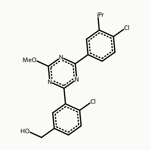 COc1nc(-c2ccc(Cl)c(C(C)C)c2)nc(-c2cc(CO)ccc2Cl)n1